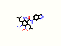 CC(C)Cc1c(N)c(C(=O)Nc2ccc3cn[nH]c3c2)c(CC(C)C)c([N+](=O)[O-])c1N